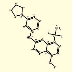 COc1ncc(C(C)(C)N)c2cc(Nc3ccnc(N4CCCC4)n3)ncc12